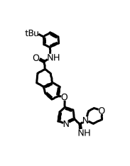 CC(C)(C)c1cccc(NC(=O)C2CCc3ccc(Oc4ccnc(C(=N)N5CCOCC5)c4)cc3C2)c1